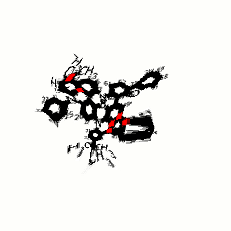 CC(C)(C)c1ccc(N2B3c4cc(N(c5ccccc5)c5ccccc5)ccc4N(c4ccc(C(C)(C)C)cc4-c4ccccc4)c4c3c(cc3c4sc4ccccc43)-c3c2ccc2c3oc3ccccc32)cc1